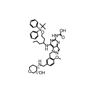 CCCC(CCO[Si](c1ccccc1)(c1ccccc1)C(C)(C)C)Nc1nc(NC(=O)O)nc2cnn(Cc3cc(CN[C@H]4CCOC[C@H]4O)ccc3OC)c12